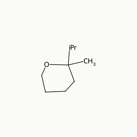 CC(C)C1(C)CCCCO1